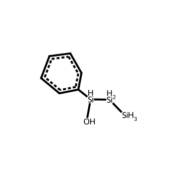 O[SiH]([SiH2][SiH3])c1ccccc1